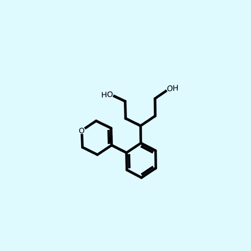 OCCC(CCO)c1ccccc1C1=CCOCC1